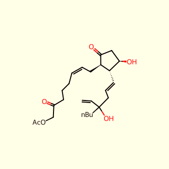 C=CC(O)(C/C=C/[C@H]1[C@H](O)CC(=O)[C@@H]1C/C=C\CCCC(=O)COC(C)=O)CCCC